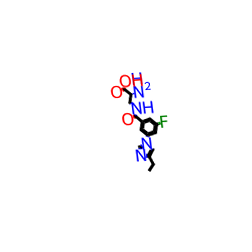 CCc1cn(-c2cc(F)cc(C(=O)NC[C@@H](N)C(=O)O)c2)cn1